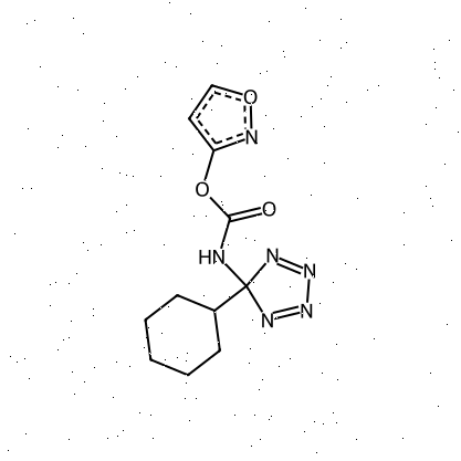 O=C(NC1(C2CCCCC2)N=NN=N1)Oc1ccon1